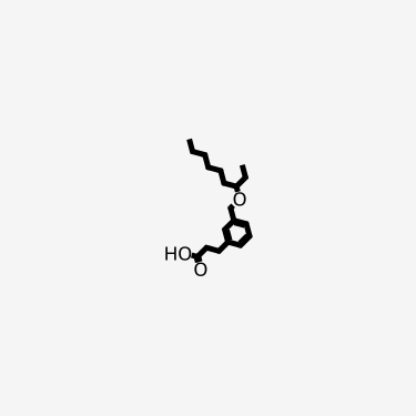 CCCCCCC(CC)OCc1cccc(CCC(=O)O)c1